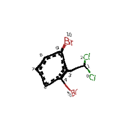 ClC(Cl)c1c(Br)cccc1Br